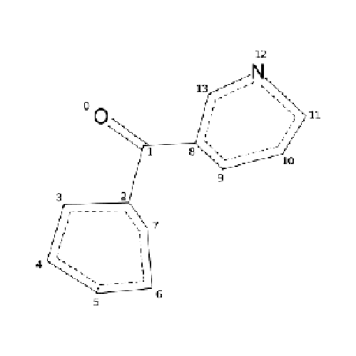 O=C(c1cc[c]cc1)c1cccnc1